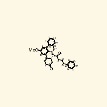 COc1cc2c(c(C3CCC(=O)CC3)c1)N(OC(=O)CCCc1ccccc1)Cc1ccccc1-2